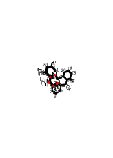 Cc1cnc(NC2CC3CCC2N(C(=O)c2c(F)cccc2-c2ncccn2)C3)c(F)c1